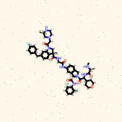 CN[C@@H](C)C(=O)NC(C(=O)N1Cc2ccc(NC(=O)CNC(=O)[C@@]3(C)CN(C(=O)CN4CCN[C@H](C)C4)c4cc(Cc5ccc(F)cc5)ccc43)cc2[C@H]1C(=O)Nc1c(F)cccc1F)C1CCOCC1